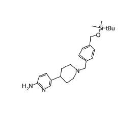 CC(C)(C)[Si](C)(C)OCc1ccc(CN2CCC(c3ccc(N)nc3)CC2)cc1